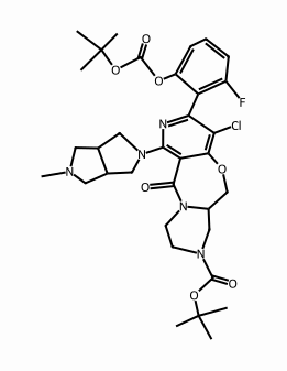 CN1CC2CN(c3nc(-c4c(F)cccc4OC(=O)OC(C)(C)C)c(Cl)c4c3C(=O)N3CCN(C(=O)OC(C)(C)C)CC3CO4)CC2C1